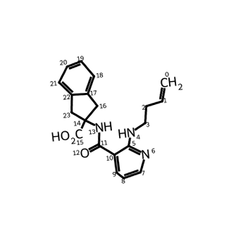 C=CCCNc1ncccc1C(=O)NC1(C(=O)O)Cc2ccccc2C1